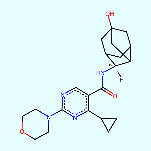 O=C(N[C@H]1C2CC3CC(O)(C2)CC31)c1cnc(N2CCOCC2)nc1C1CC1